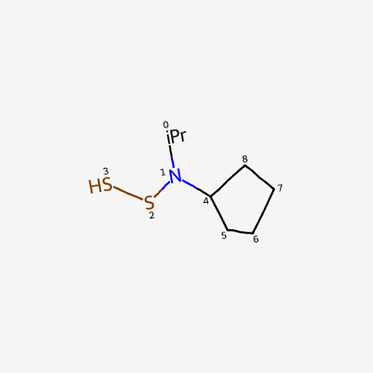 CC(C)N(SS)C1CCCC1